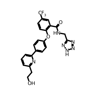 O=C(NCc1nn[nH]n1)c1cc(C(F)(F)F)ccc1Oc1ccc(-c2cccc(CCO)n2)cc1